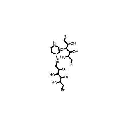 BrN1CCNCC1.OC(CBr)C(O)C(O)C(O)CBr.OC(CBr)C(O)C(O)C(O)CBr